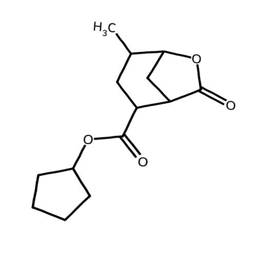 CC1CC(C(=O)OC2CCCC2)C2CC1OC2=O